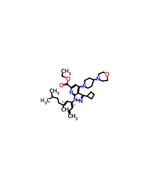 C=C/C=C(\C=C(/C)CCC(C)C)n1nc(C2CCC2)c2c(N3CCC(N4CCOCC4)CC3)cc(C(=O)OCC)nc21